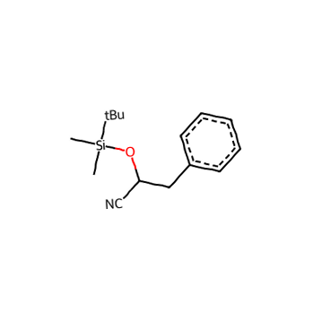 CC(C)(C)[Si](C)(C)OC(C#N)Cc1ccccc1